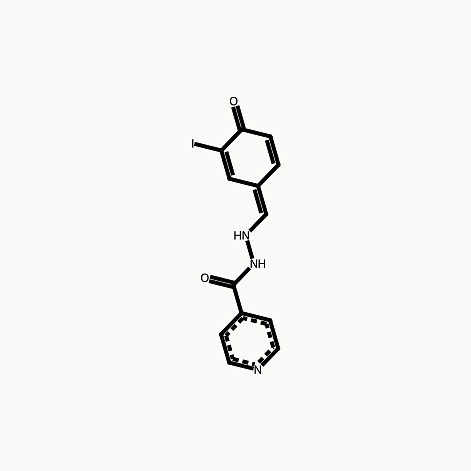 O=C1C=C/C(=C/NNC(=O)c2ccncc2)C=C1I